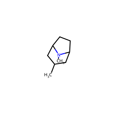 CC1CC2CCC(C1)N2C